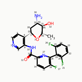 C[C@@H]1O[C@H](c2ccncc2NC(=O)c2ccc(F)c(-c3c(F)cccc3F)n2)C[C@H](N)[C@H]1O